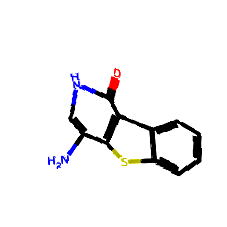 Nc1c[nH]c(=O)c2c1sc1ccccc12